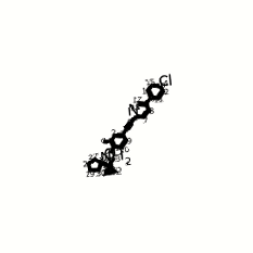 Cc1cc(C#Cc2ccc(-c3ccc(Cl)cc3)cn2)ccc1OCC1(C2(N)CCCC2)CC1